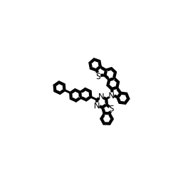 c1ccc(-c2ccc3cc(-c4nc(-n5c6ccccc6c6cc7ccc8c9ccccc9sc8c7cc65)c5sc6ccccc6c5n4)ccc3c2)cc1